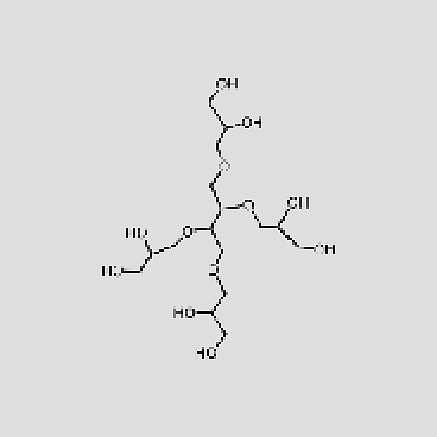 OCC(O)COCC(OCC(O)CO)C(COCC(O)CO)OCC(O)CO